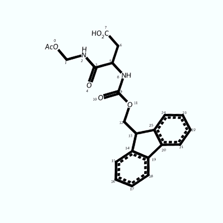 CC(=O)OCNC(=O)C(CC(=O)O)NC(=O)OCC1c2ccccc2-c2ccccc21